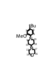 COc1cc(C(C)(C)C)ccc1N1CCC(N2CCOCC2)CC1